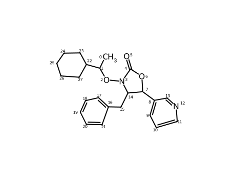 CC(ON1C(=O)OC(c2cccnc2)C1Cc1ccccc1)C1CCCCC1